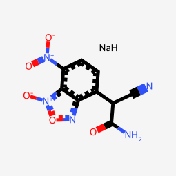 N#CC(C(N)=O)c1ccc([N+](=O)[O-])c2c1no[n+]2[O-].[NaH]